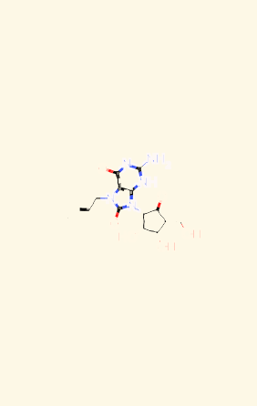 C=CCn1c(=O)n([C@H]2C(=O)[C@H](CO)[C@H](O)[C@@H]2O)c2[nH]c(N)nc(=O)c21